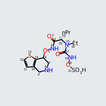 CCC[C@@H](C(=O)NOC1CNCc2ccsc21)N(CC)C(=O)NOS(=O)(=O)O